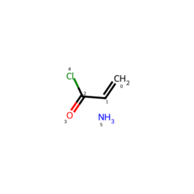 C=CC(=O)Cl.N